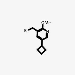 COc1ncc(C2CCC2)cc1CBr